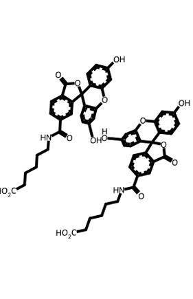 O=C(O)CCCCCNC(=O)c1ccc2c(c1)C(=O)OC21c2ccc(O)cc2Oc2cc(O)ccc21.O=C(O)CCCCCNC(=O)c1ccc2c(c1)C1(OC2=O)c2ccc(O)cc2Oc2cc(O)ccc21